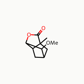 COC1C2CC3C1OC(=O)C3(C)C2